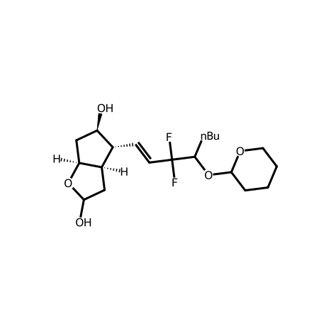 CCCCC(OC1CCCCO1)C(F)(F)C=C[C@@H]1[C@H]2CC(O)O[C@H]2C[C@H]1O